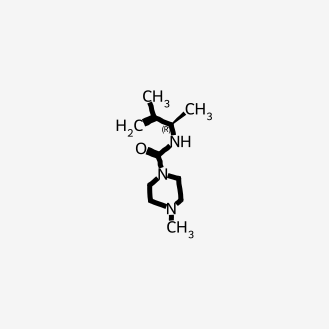 C=C(C)[C@@H](C)NC(=O)N1CCN(C)CC1